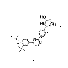 CC(C)Oc1ccc(-c2ccnc(-c3ccc(C(CO)NC(=O)O)cc3)n2)cc1C(C)(C)C